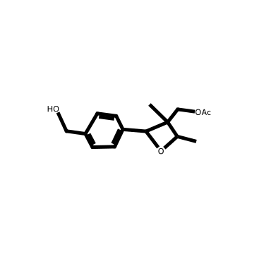 CC(=O)OCC1(C)C(C)OC1c1ccc(CO)cc1